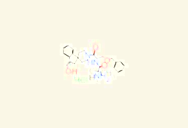 CC(C)(N)C(=O)NC(COCc1ccccc1)C(=O)N1CCC2(CC1)C[C@@H](CO)c1ccccc12.Cl